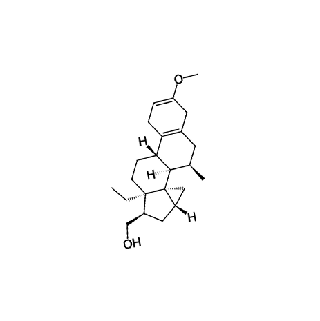 CC[C@]12CC[C@@H]3C4=C(CC(OC)=CC4)C[C@@H](C)[C@H]3[C@]13C[C@@H]3C[C@H]2CO